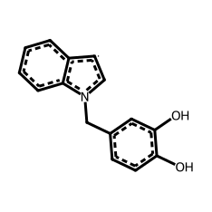 Oc1ccc(Cn2c[c]c3ccccc32)cc1O